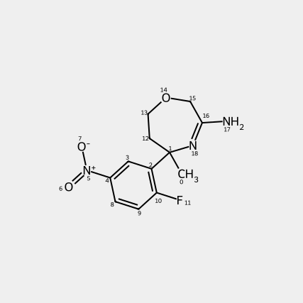 CC1(c2cc([N+](=O)[O-])ccc2F)CCOCC(N)=N1